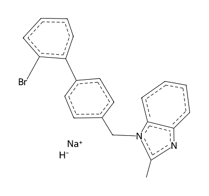 Cc1nc2ccccc2n1Cc1ccc(-c2ccccc2Br)cc1.[H-].[Na+]